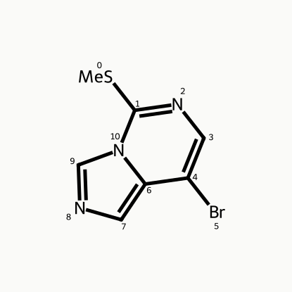 CSc1ncc(Br)c2cncn12